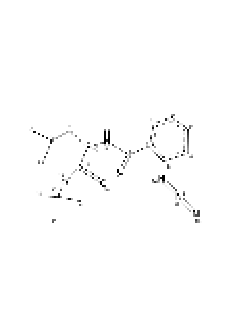 CC(C)C[C@H](NC(=O)c1ccccc1N=[N+]=[N-])C(=O)OC(C)(C)C